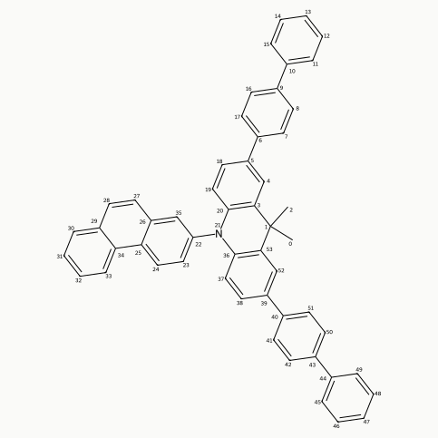 CC1(C)c2cc(-c3ccc(-c4ccccc4)cc3)ccc2N(c2ccc3c(ccc4ccccc43)c2)c2ccc(-c3ccc(-c4ccccc4)cc3)cc21